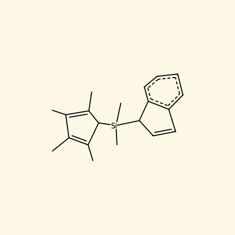 CC1=C(C)C([Si](C)(C)C2C=Cc3ccccc32)C(C)=C1C